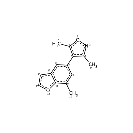 Cc1noc(C)c1-c1cc(C)c2occc2c1